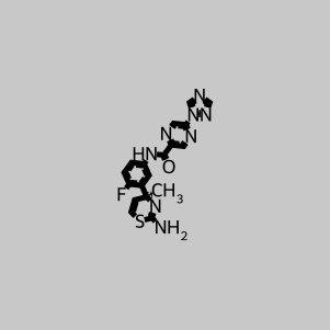 C[C@@]1(c2cc(NC(=O)c3cnc(-n4cncn4)cn3)ccc2F)C=CSC(N)=N1